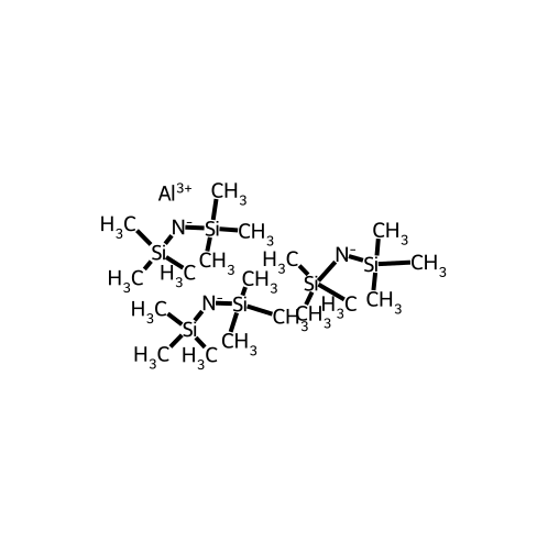 C[Si](C)(C)[N-][Si](C)(C)C.C[Si](C)(C)[N-][Si](C)(C)C.C[Si](C)(C)[N-][Si](C)(C)C.[Al+3]